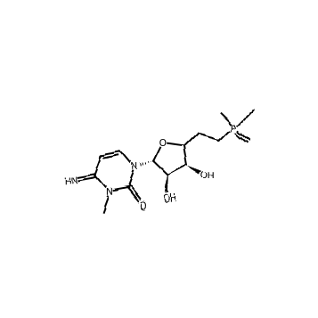 C=P(C)(C)CCC1O[C@@H](n2ccc(=N)n(C)c2=O)[C@H](O)[C@@H]1O